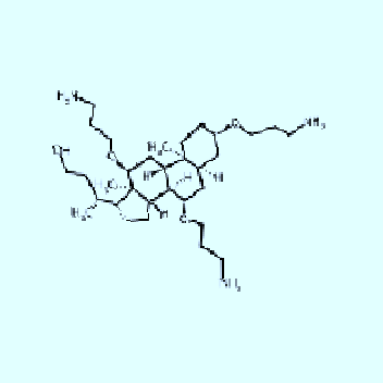 C[C@H](CCO)[C@H]1CC[C@H]2[C@@H]3[C@H](OCCCN)C[C@@H]4C[C@H](OCCCN)CC[C@]4(C)[C@H]3C[C@H](OCCCN)[C@]12C